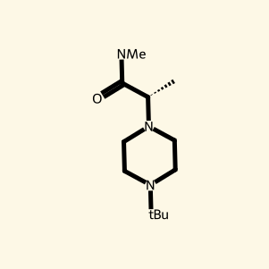 CNC(=O)[C@H](C)N1CCN(C(C)(C)C)CC1